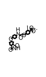 O=C(COc1ccc([N+](=O)[O-])c(I)c1)Nc1ccc(Oc2ccc3c(c2)C(=O)NC3=O)cc1